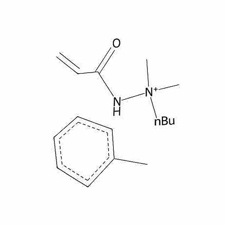 C=CC(=O)N[N+](C)(C)CCCC.Cc1ccccc1